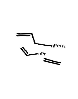 C=C.C=CCCC.C=CCCCCCC